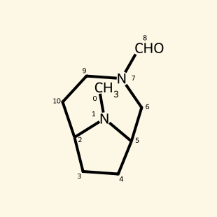 CN1C2CCC1CN(C=O)CC2